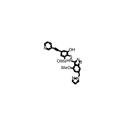 COc1cc(C#Cc2cccnc2)cc(O)c1SNc1noc2cc(Cn3cccn3)cc(OC)c12